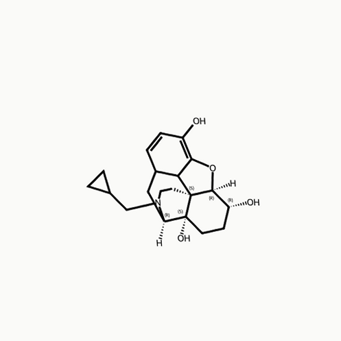 OC1=C2O[C@H]3[C@H](O)CC[C@@]4(O)[C@H]5CC(C=C1)C2[C@@]34CCN5CC1CC1